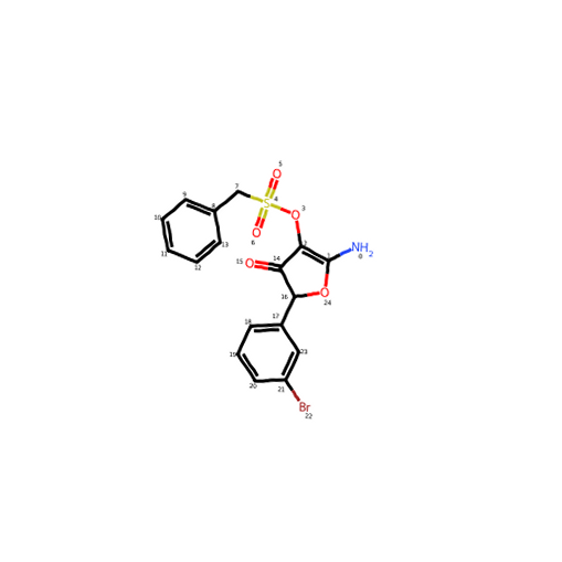 NC1=C(OS(=O)(=O)Cc2ccccc2)C(=O)C(c2cccc(Br)c2)O1